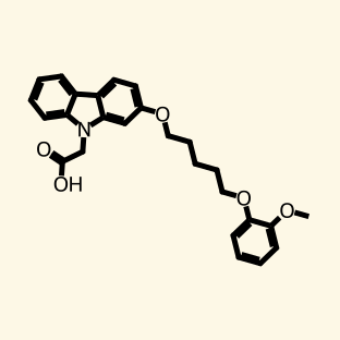 COc1ccccc1OCCCCCOc1ccc2c3ccccc3n(CC(=O)O)c2c1